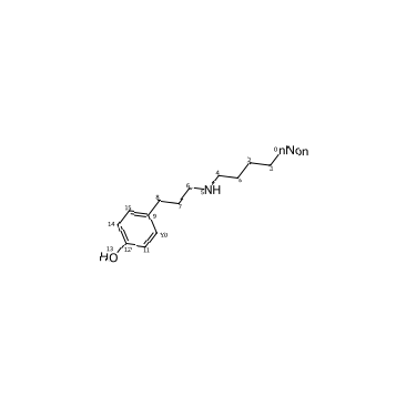 CCCCCCCCCCCCCNCCCc1ccc(O)cc1